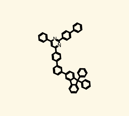 c1ccc(-c2ccc(-c3nc(-c4ccccc4)cc(-c4ccc(-c5cccc(-c6ccc7c(c6)-c6ccccc6C7(c6ccccc6)c6ccccc6)c5)cc4)n3)cc2)cc1